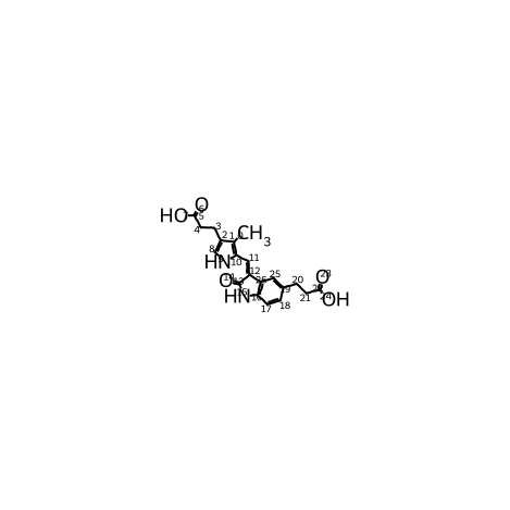 Cc1c(CCC(=O)O)c[nH]c1C=C1C(=O)Nc2ccc(CCC(=O)O)cc21